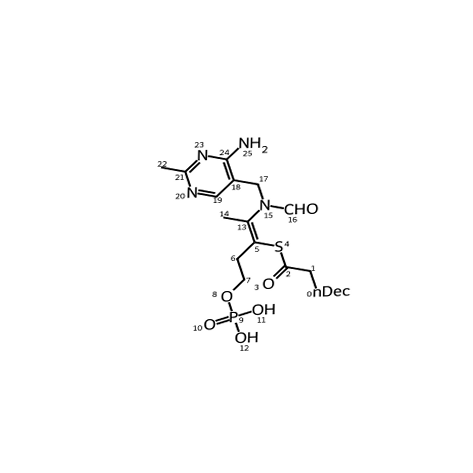 CCCCCCCCCCCC(=O)S/C(CCOP(=O)(O)O)=C(/C)N(C=O)Cc1cnc(C)nc1N